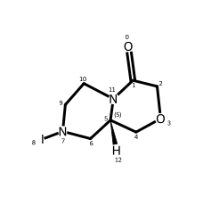 O=C1COC[C@@H]2CN(I)CCN12